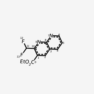 CCOC(=O)c1cc2cccnc2nc1C(F)F